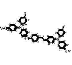 COc1ccc(N(c2ccc(C)cc2)c2ccc(CCc3ccc(Nc4ccc(N(c5ccc(C)cc5)c5ccc(OC)cc5)cc4)cc3)cc2)cc1